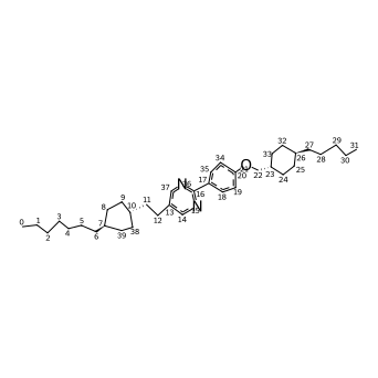 CCCCCCC[C@H]1CC[C@H](CCc2cnc(-c3ccc(OC[C@H]4CC[C@H](CCCCC)CC4)cc3)nc2)CC1